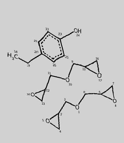 C(OCC1CO1)C1CO1.C(OCC1CO1)C1CO1.CCc1ccc(O)cc1